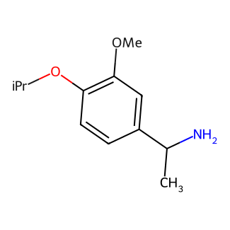 COc1cc(C(C)N)ccc1OC(C)C